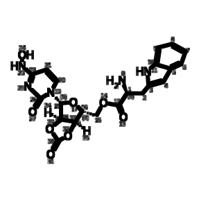 N[C@@H](Cc1cc2ccccc2[nH]1)C(=O)OC[C@H]1O[C@@H](n2ccc(NO)nc2=O)[C@@H]2OC(=O)O[C@@H]21